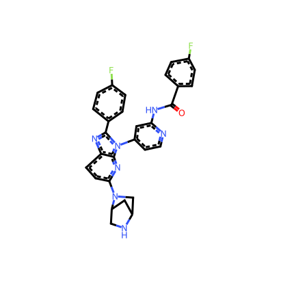 O=C(Nc1cc(-n2c(-c3ccc(F)cc3)nc3ccc(N4CC5CC4CN5)nc32)ccn1)c1ccc(F)cc1